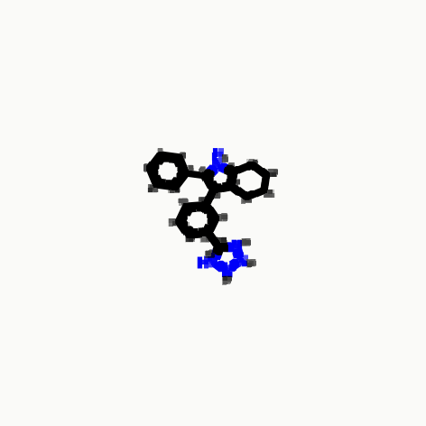 c1ccc(-c2[nH]c3c(c2-c2cccc(-c4nnn[nH]4)c2)CCCC3)cc1